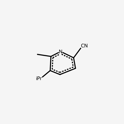 Cc1nc(C#N)ccc1C(C)C